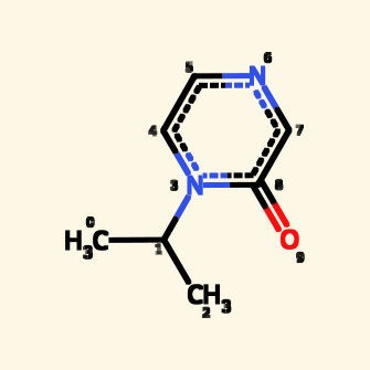 CC(C)n1ccncc1=O